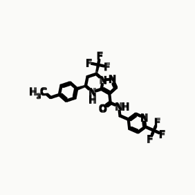 CCc1ccc([C@H]2C[C@@H](C(F)(F)F)n3ncc(C(=O)NCc4ccc(C(F)(F)F)nc4)c3N2)cc1